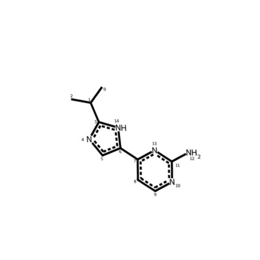 CC(C)c1ncc(-c2ccnc(N)n2)[nH]1